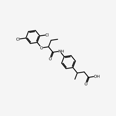 CCC(Oc1cc(Cl)ccc1Cl)C(=O)Nc1ccc(C(C)CC(=O)O)cc1